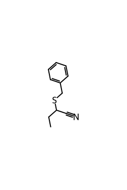 CCC(C#N)SCc1ccccc1